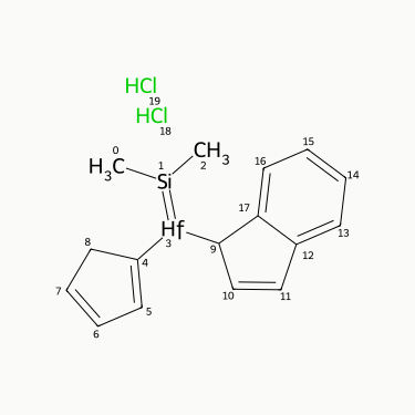 C[Si](C)=[Hf]([C]1=CC=CC1)[CH]1C=Cc2ccccc21.Cl.Cl